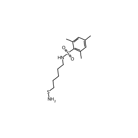 Cc1cc(C)c(S(=O)(=O)NCCCCCSN)c(C)c1